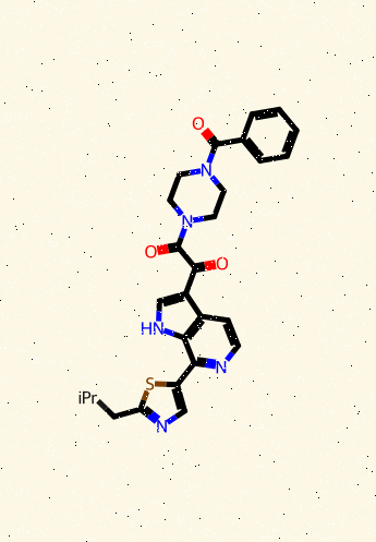 CC(C)Cc1ncc(-c2nccc3c(C(=O)C(=O)N4CCN(C(=O)c5ccccc5)CC4)c[nH]c23)s1